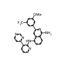 COc1cc(-c2cc3c(Nc4ncccc4-c4ccncn4)cccc3c(N)n2)cc(C(F)(F)F)c1